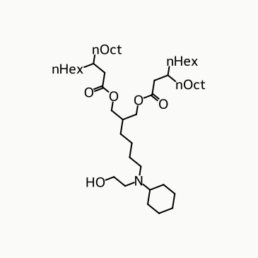 CCCCCCCCC(CCCCCC)CC(=O)OCC(CCCCN(CCO)C1CCCCC1)COC(=O)CC(CCCCCC)CCCCCCCC